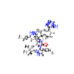 CCCCc1cn(-c2c(C)cnn2C(C)C)c(=O)n1CC1(c2cccc(-c3nnn[nH]3)c2)C=CNC=C1